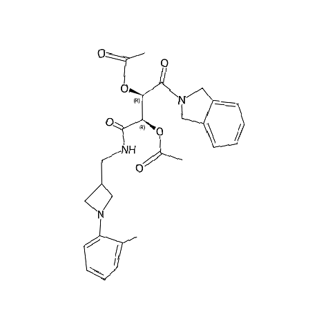 CC(=O)O[C@@H](C(=O)NCC1CN(c2ccccc2C)C1)[C@@H](OC(C)=O)C(=O)N1Cc2ccccc2C1